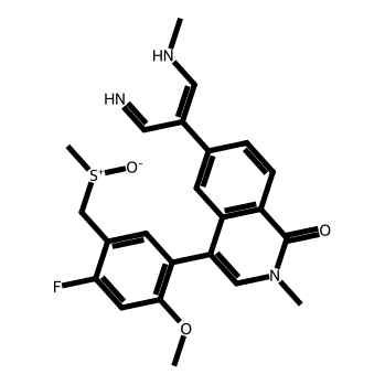 CN/C=C(\C=N)c1ccc2c(=O)n(C)cc(-c3cc(C[S+](C)[O-])c(F)cc3OC)c2c1